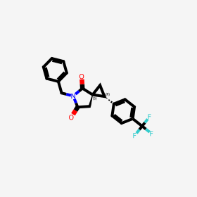 O=C1C[C@]2(C[C@@H]2c2ccc(C(F)(F)F)cc2)C(=O)N1Cc1ccccc1